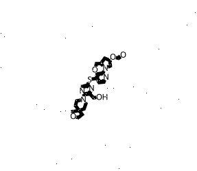 O=COC1CC2COc3c(Sc4cnc(N5CCC6(CCOC6)CC5)c(CO)n4)ccnc3N2C1